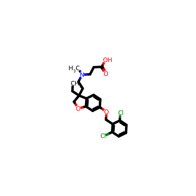 CCC1(CCN(C)CCC(=O)O)COc2cc(OCc3c(Cl)cccc3Cl)ccc21